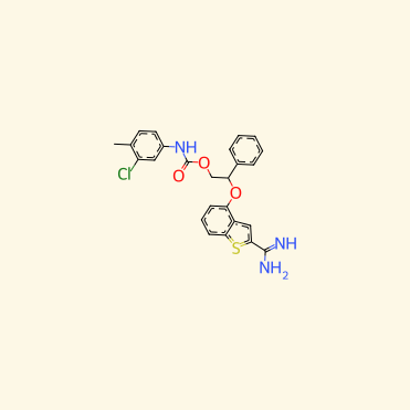 Cc1ccc(NC(=O)OCC(Oc2cccc3sc(C(=N)N)cc23)c2ccccc2)cc1Cl